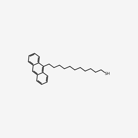 SCCCCCCCCCCCc1c2ccccc2cc2ccccc12